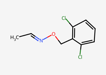 CC=NOCc1c(Cl)cccc1Cl